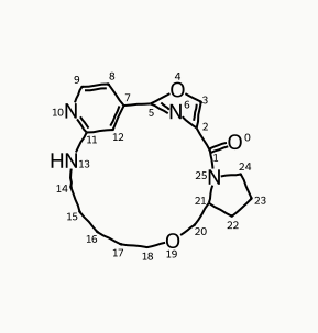 O=C1c2coc(n2)-c2ccnc(c2)NCCCCCOCC2CCCN12